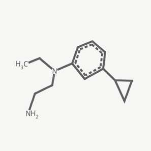 CCN(CCN)c1cccc(C2CC2)c1